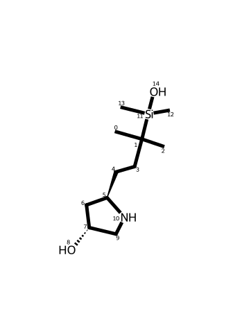 CC(C)(CC[C@@H]1C[C@@H](O)CN1)[Si](C)(C)O